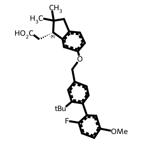 COc1ccc(F)c(-c2ccc(COc3ccc4c(c3)[C@H](CC(=O)O)C(C)(C)C4)cc2C(C)(C)C)c1